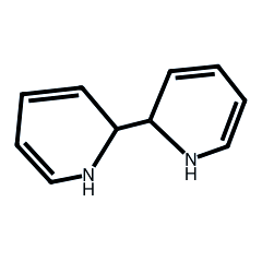 C1=CNC(C2C=CC=CN2)C=C1